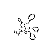 C[C@@H]1O[C@@H](CC=O)[C@@H](OCc2ccccc2)[C@H](OCc2ccccc2)[C@@H]1OCc1ccccc1